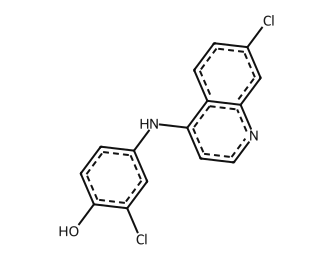 Oc1ccc(Nc2ccnc3cc(Cl)ccc23)cc1Cl